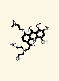 COc1c(Br)cc(O)c2c1c(=O)c1c(NCCN(C)C)ccc3c(CN(CCO)CCO)nn2c31